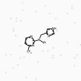 CC(C)N(Cc1c[nH]cn1)c1nccc(C(F)(F)F)n1